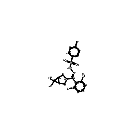 Cc1ccc(S(=O)(=O)N/N=C(/c2c(Cl)cccc2Cl)N2CC3C(C2)C3(F)F)cc1